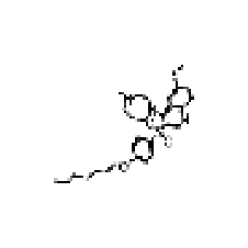 CCCCCCCOc1ccc(S(=O)(=O)c2cnc3ccc(SC)cc3c2N2CCCN(C)CC2)cc1